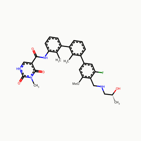 COc1cc(-c2cccc(-c3cccc(NC(=O)c4c[nH]c(=O)n(C)c4=O)c3C)c2C)cc(F)c1CNC[C@@H](C)O